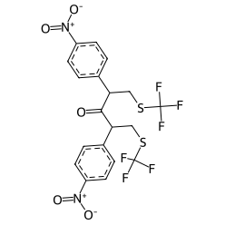 O=C(C(CSC(F)(F)F)c1ccc([N+](=O)[O-])cc1)C(CSC(F)(F)F)c1ccc([N+](=O)[O-])cc1